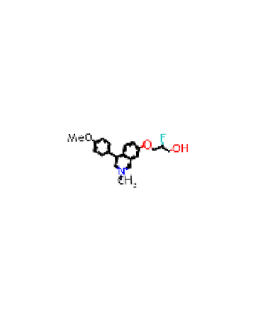 COc1ccc(-c2c[n+](C)cc3cc(OCC(F)CO)ccc23)cc1